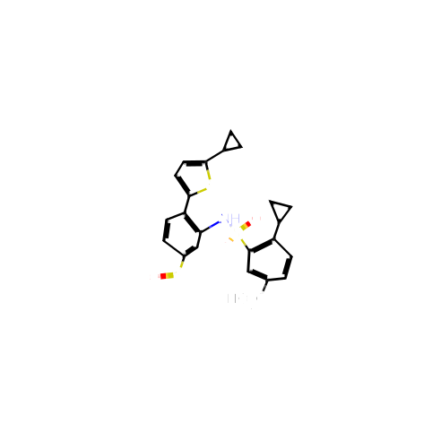 O=[S+]c1ccc(-c2ccc(C3CC3)s2)c(NS(=O)(=O)c2cc(C(=O)O)ccc2C2CC2)c1